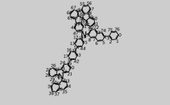 c1ccc(-c2ccc3cc(N(c4ccc(-c5ccc(-c6ccc7c(c6)c6ccccc6n7-c6cccc7ccccc67)cc5)cc4)c4ccc5c(c4)C4(c6ccccc6-c6ccccc64)c4ccccc4-5)ccc3c2)cc1